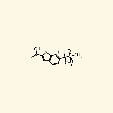 CC(C)(c1ccc2cc(C(=O)O)sc2c1)S(C)(=O)=O